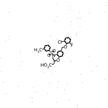 Cc1cccc(S(=O)(=O)N2C[C@H](CC(=O)O)Oc3ccc(COc4c(F)cccc4Cl)cc32)c1